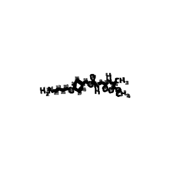 COC(=O)C(C)NC(=O)CNC(=O)OCc1ccc(OCCCCN)cc1